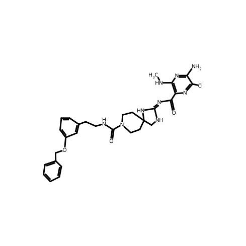 CNc1nc(N)c(Cl)nc1C(=O)/N=C1\NCC2(CCN(C(=O)NCCc3cccc(OCc4ccccc4)c3)CC2)N1